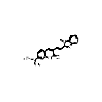 CCCN(CCC)c1ccc2cc(/C=C/C3Sc4ccccc4N3C)c(=O)oc2c1